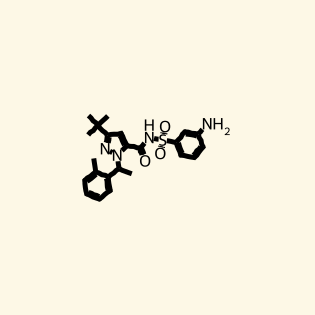 Cc1ccccc1C(C)n1nc(C(C)(C)C)cc1C(=O)NS(=O)(=O)c1cccc(N)c1